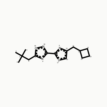 CC(C)(C)Cc1nc(-c2nc(CC3CCC3)cs2)no1